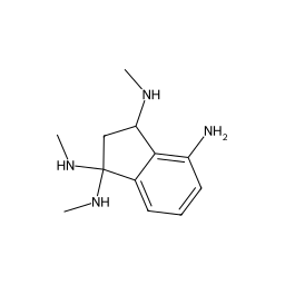 CNC1CC(NC)(NC)c2cccc(N)c21